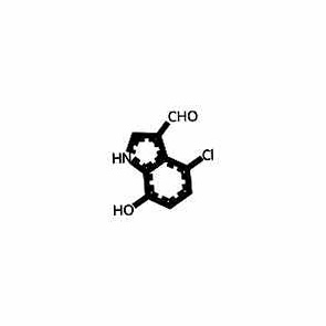 O=Cc1c[nH]c2c(O)ccc(Cl)c12